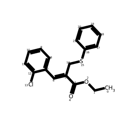 CCOC(=O)/C(=C/c1ccccc1Cl)CSc1ccccc1